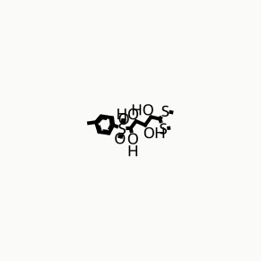 CSC(SC)[C@H](O)[C@@H](O)[C@@H](O)C(O)S(=O)(=O)c1ccc(C)cc1